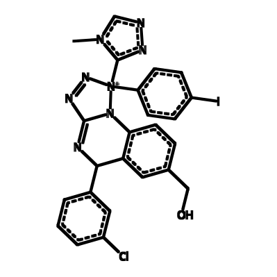 Cn1cnnc1[N+]1(c2ccc(I)cc2)N=NC2=NC(c3cccc(Cl)c3)c3cc(CO)ccc3N21